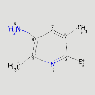 CCc1nc(C)c(N)cc1C